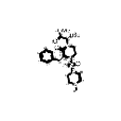 CCCC[C@@H](C(=O)OC)N1CCN(S(=O)(=O)N2CCN(C)CC2)[C@@H](Cc2ccccc2)C1=O